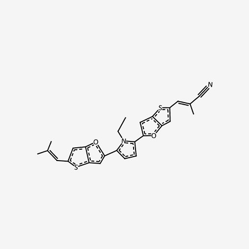 CCn1c(-c2cc3sc(C=C(C)C)cc3o2)ccc1-c1cc2sc(/C=C(\C)C#N)cc2o1